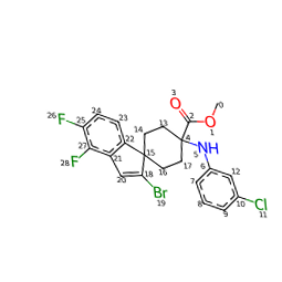 COC(=O)C1(Nc2cccc(Cl)c2)CCC2(CC1)C(Br)=Cc1c2ccc(F)c1F